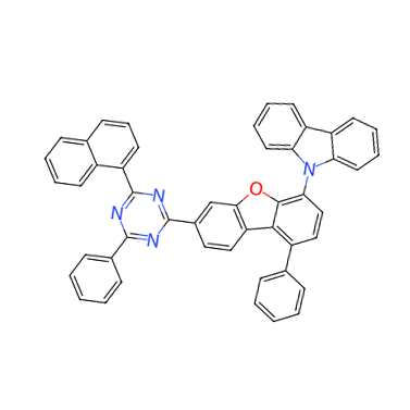 c1ccc(-c2nc(-c3ccc4c(c3)oc3c(-n5c6ccccc6c6ccccc65)ccc(-c5ccccc5)c34)nc(-c3cccc4ccccc34)n2)cc1